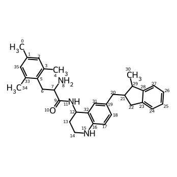 Cc1cc(C)c(CC(N)C(=O)NC2CCNc3ccc(CC4Cc5ccccc5C4C)cc32)c(C)c1